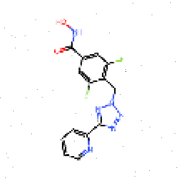 O=C(NO)c1cc(F)c(Cn2nnc(-c3ccccn3)n2)c(F)c1